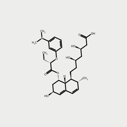 CC[C@H](Oc1cccc(N(C)C)c1)C(=O)O[C@H]1C[C@H](O)C=C2C=C[C@@H](C)[C@H](CC[C@@H](O)C[C@@H](O)CC(=O)O)[C@H]21